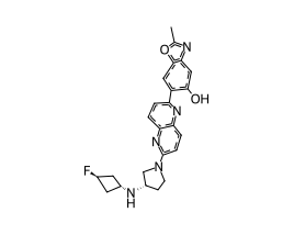 Cc1nc2cc(O)c(-c3ccc4nc(N5CC[C@H](N[C@H]6C[C@H](F)C6)C5)ccc4n3)cc2o1